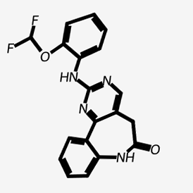 O=C1Cc2cnc(Nc3ccccc3OC(F)F)nc2-c2ccccc2N1